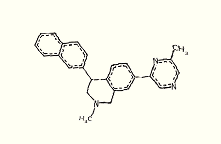 Cc1cncc(-c2ccc3c(c2)CN(C)CC3c2ccc3ccccc3c2)n1